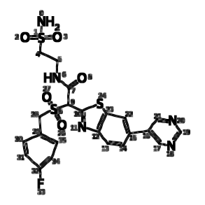 NS(=O)(=O)CCNC(=O)C(c1nc2ccc(-c3cncnc3)cc2s1)S(=O)(=O)Cc1ccc(F)cc1